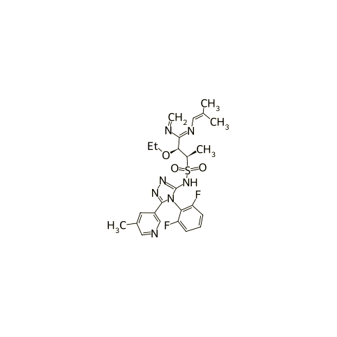 C=N/C(=N\C=C(C)C)[C@H](OCC)[C@@H](C)S(=O)(=O)Nc1nnc(-c2cncc(C)c2)n1-c1c(F)cccc1F